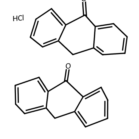 Cl.O=C1c2ccccc2Cc2ccccc21.O=C1c2ccccc2Cc2ccccc21